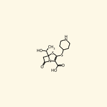 C[C@H](O)C12CC(=O)N1C(C(=O)O)=C(SC1CCNCC1)S2